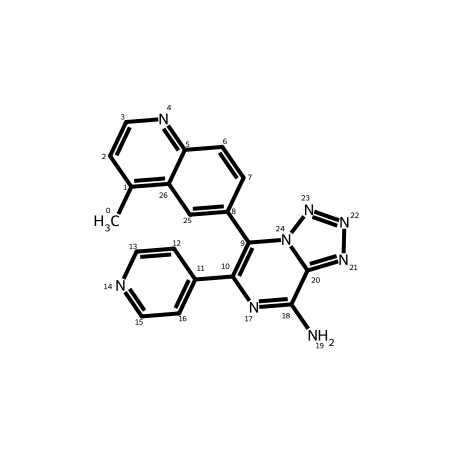 Cc1ccnc2ccc(-c3c(-c4ccncc4)nc(N)c4nnnn34)cc12